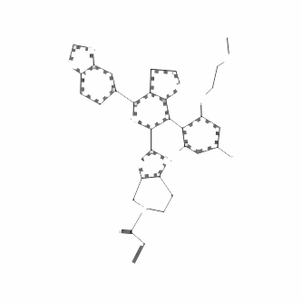 C=CC(=O)N1CCc2nc(-c3nc(-c4ccc5ocnc5c4)c4ccsc4c3-c3c(F)cc(F)cc3OCCOC)sc2C1